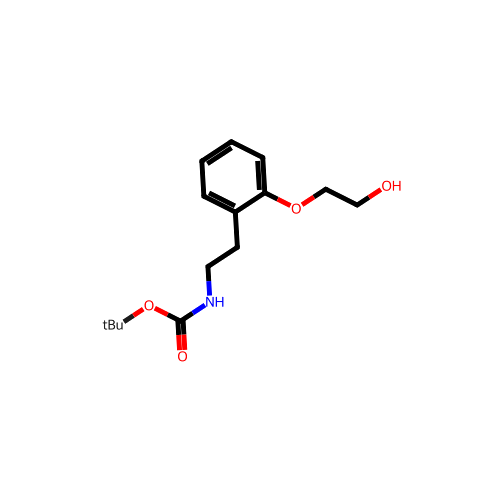 CC(C)(C)OC(=O)NCCc1ccccc1OCCO